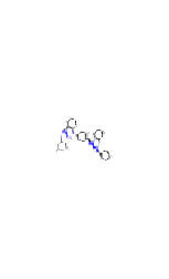 C(=NN(Cc1ccccc1)Cc1ccccc1)c1ccc(C=NN(Cc2ccccc2)Cc2ccccc2)cc1